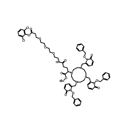 CC(C)(C)OC(=O)C(CCC(=O)NCCOCCOCCOCCC(=O)Oc1c(Cl)cccc1Cl)N1CCN(Cc2cccc(=O)n2OCc2ccccc2)CCN(Cc2cccc(=O)n2OCc2ccccc2)CCN(Cc2cccc(=O)n2OCc2ccccc2)CC1